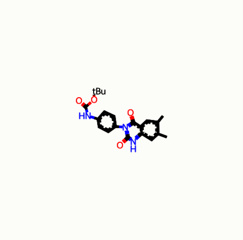 Cc1cc2[nH]c(=O)n(-c3ccc(NC(=O)OC(C)(C)C)cc3)c(=O)c2cc1C